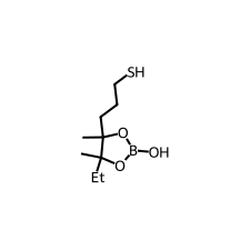 CCC1(C)OB(O)OC1(C)CCCS